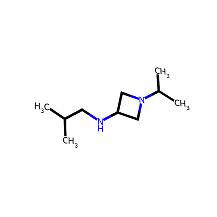 CC(C)CNC1CN(C(C)C)C1